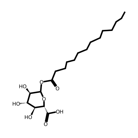 CCCCCCCCCCCCCC(=O)OC1O[C@H](C(=O)O)[C@@H](O)[C@H](O)[C@H]1O